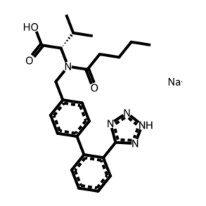 CCCCC(=O)N(Cc1ccc(-c2ccccc2-c2nn[nH]n2)cc1)[C@H](C(=O)O)C(C)C.[Na]